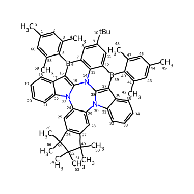 Cc1cc(C)c(B2c3cc(C(C)(C)C)cc4c3-n3c5c2c2ccccc2n5c2cc5c(cc2n2c6ccccc6c(c32)B4c2c(C)cc(C)cc2C)C(C)(C)C(C)(C)C5(C)C)c(C)c1